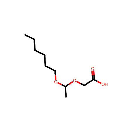 CCCCCCOC(C)OCC(=O)O